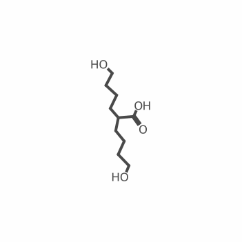 O=C(O)C(CCCCO)CCCCO